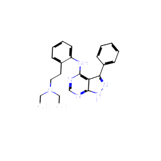 CCN(CC)CCc1ccccc1Nc1ncnc2[nH]nc(-c3ccccc3)c12